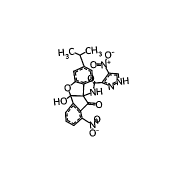 CC(C)c1ccc2c(c1)OC1(O)c3cccc([N+](=O)[O-])c3C(=O)C21NC(=O)c1n[nH]cc1[N+](=O)[O-]